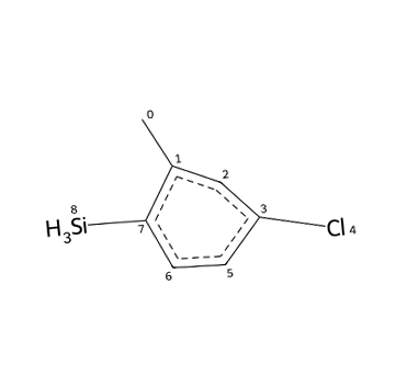 Cc1cc(Cl)ccc1[SiH3]